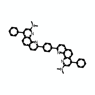 CN(C)c1cc(-c2ccccc2)c2ccc3ccc(-c4ccc(-c5ccc6ccc7c(-c8ccccc8)cc(N(C)C)nc7c6n5)cc4)nc3c2n1